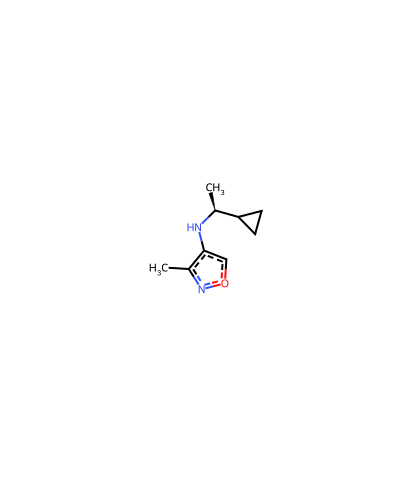 Cc1nocc1N[C@@H](C)C1CC1